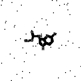 CC(C)(C)OC(=O)Nc1c[nH]c2ccc(Br)nc12